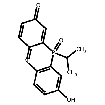 CC(C)P1(=O)C2=CC(=O)C=CC2=Nc2ccc(O)cc21